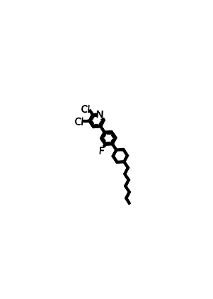 CCCCCCCC1CCC(c2ccc(-c3cnc(Cl)c(Cl)c3)cc2F)CC1